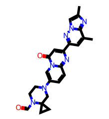 Cc1cn2nc(-c3cc(=O)n4cc(N5CCN(C=O)C6(CC6)C5)ccc4n3)cc(C)c2n1